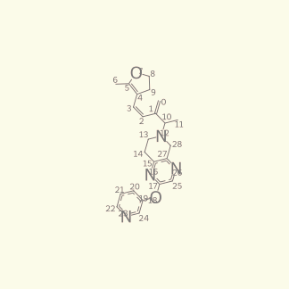 C=C(/C=C\C1=C(C)OCC1)C(C)N1CCc2nc(Oc3cccnc3)cnc2C1